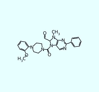 COc1ccccc1N1CCN(C(=O)N2c3cnc(-c4ccccc4)nc3N(C)C2C=O)CC1